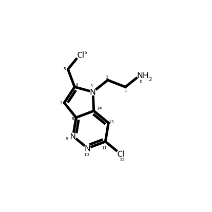 NCCn1c(CCl)cc2nnc(Cl)cc21